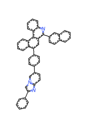 c1ccc(-c2cn3cc(-c4ccc(-c5cc6c(-c7ccc8ccccc8c7)nc7ccccc7c6c6ccccc56)cc4)ccc3n2)cc1